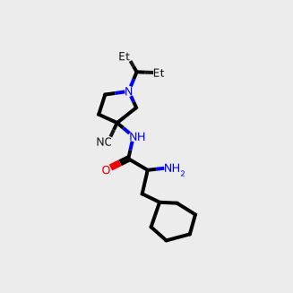 CCC(CC)N1CCC(C#N)(NC(=O)C(N)CC2CCCCC2)C1